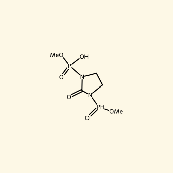 CO[PH](=O)N1CCN(P(=O)(O)OC)C1=O